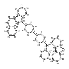 c1ccc(N(c2ccc(-c3ccc(-n4c5ccccc5c5ccc6ccccc6c54)cc3)cc2)c2cccc3oc4ccccc4c23)cc1